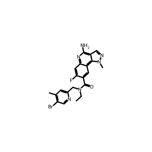 CCN(Cc1cc(C)c(Br)cn1)C(=O)c1cc2c(cc1F)nc(N)c1cnn(C)c12